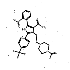 CC(=O)N1CCN(CCc2c(-c3ccc(C(F)(F)F)cc3)[nH]c(-c3ccccc3[N+](=O)[O-])c2C(N)=O)CC1